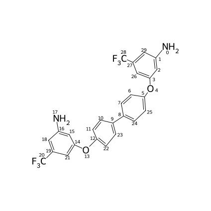 Nc1cc(Oc2ccc(-c3ccc(Oc4cc(N)cc(C(F)(F)F)c4)cc3)cc2)cc(C(F)(F)F)c1